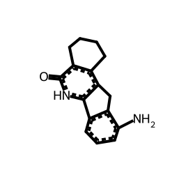 Nc1cccc2c1Cc1c-2[nH]c(=O)c2c1CCCC2